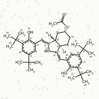 CC(=O)[O-].CC(C)(C)c1cc(C=[N+]2[Mn][N+](=Cc3cc(C(C)(C)C)cc(C(C)(C)C)c3O)[C@@H]3CCCC[C@H]32)c(O)c(C(C)(C)C)c1